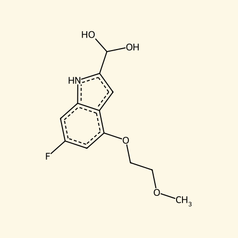 COCCOc1cc(F)cc2[nH]c(C(O)O)cc12